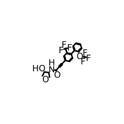 O=C(C#Cc1ccc(-c2ccccc2OC(F)(F)F)c(C(F)(F)F)c1)N[C@@H]1COC[C@@H]1O